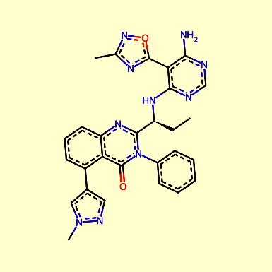 CC[C@H](Nc1ncnc(N)c1-c1nc(C)no1)c1nc2cccc(-c3cnn(C)c3)c2c(=O)n1-c1ccccc1